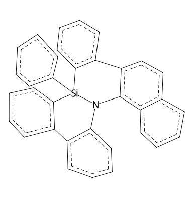 c1ccc([Si]23c4ccccc4-c4ccccc4N2c2c(ccc4ccccc24)-c2ccccc23)cc1